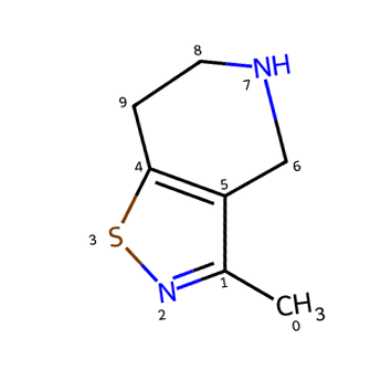 Cc1nsc2c1CNCC2